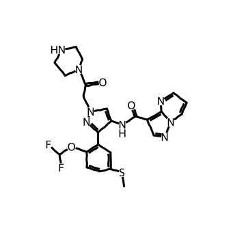 CSc1ccc(OC(F)F)c(-c2nn(CC(=O)N3CCNCC3)cc2NC(=O)c2cnn3cccnc23)c1